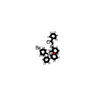 O=C(COc1ccccc1C[P+](c1ccccc1)(c1ccccc1)c1ccccc1)c1ccccc1.[Br-]